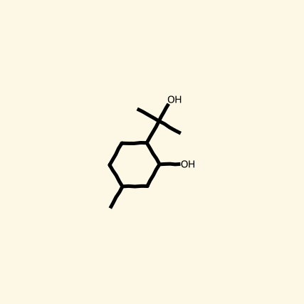 CC1CCC(C(C)(C)O)C(O)C1